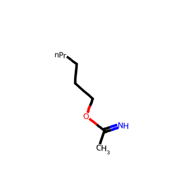 CCCCCCOC(C)=N